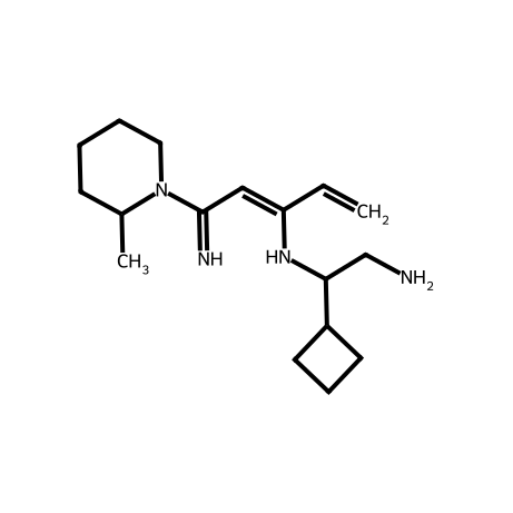 C=C/C(=C/C(=N)N1CCCCC1C)NC(CN)C1CCC1